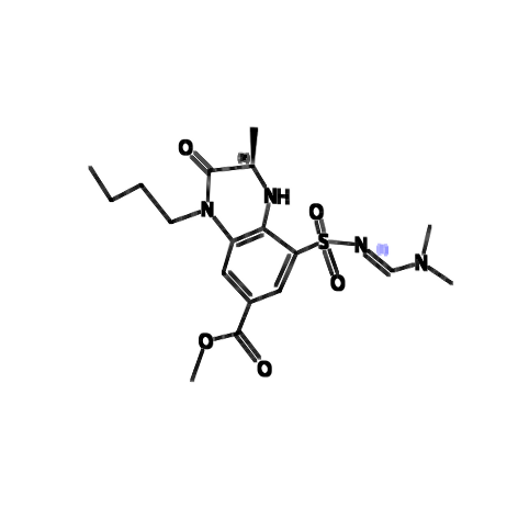 CCCCN1C(=O)[C@@H](C)Nc2c1cc(C(=O)OC)cc2S(=O)(=O)/N=C/N(C)C